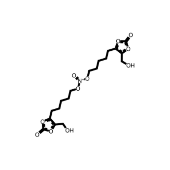 O=c1oc(CO)c(CCCCCO[N+](=O)OCCCCCc2oc(=O)oc2CO)o1